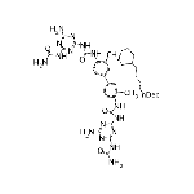 CCCCCCCCCCCCCCC1CCCCC1.Cc1cc(-c2ccc(NC(=O)Nc3nc(N)nc(NC(N)=O)n3)c(C)c2)ccc1NC(=O)Nc1nc(N)nc(NC(N)=O)n1